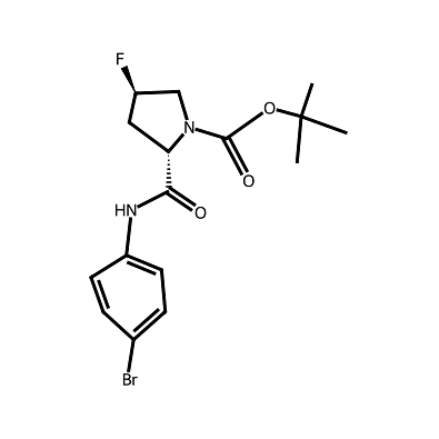 CC(C)(C)OC(=O)N1C[C@H](F)C[C@H]1C(=O)Nc1ccc(Br)cc1